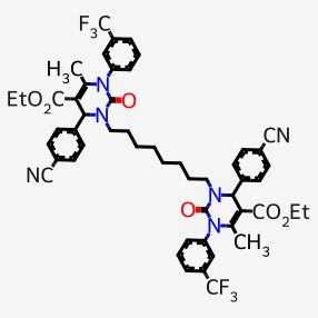 CCOC(=O)C1=C(C)N(c2cccc(C(F)(F)F)c2)C(=O)N(CCCCCCCCN2C(=O)N(c3cccc(C(F)(F)F)c3)C(C)=C(C(=O)OCC)C2c2ccc(C#N)cc2)C1c1ccc(C#N)cc1